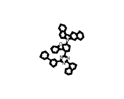 c1ccc(-c2cccc(-c3nc(-c4cccc5ccccc45)nc(-c4ccc(-n5c6cc7ccccc7cc6c6c7ccccc7ccc65)c5oc6ccccc6c45)n3)c2)cc1